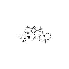 Cc1oc2ncnc(NC3(C)CC3)c2c1C(=O)N1CC[C@H]2CCCC[C@@H]2C1